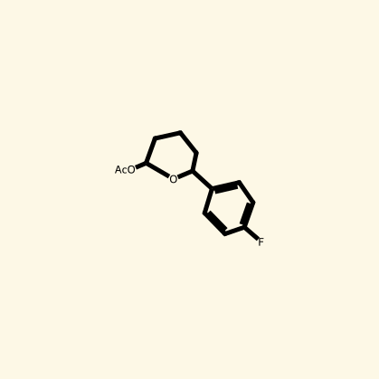 CC(=O)OC1CCCC(c2ccc(F)cc2)O1